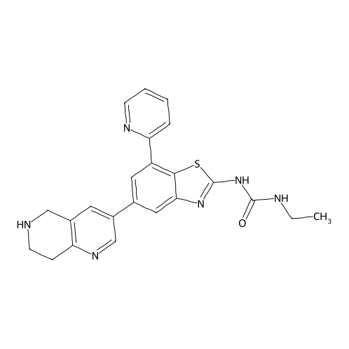 CCNC(=O)Nc1nc2cc(-c3cnc4c(c3)CNCC4)cc(-c3ccccn3)c2s1